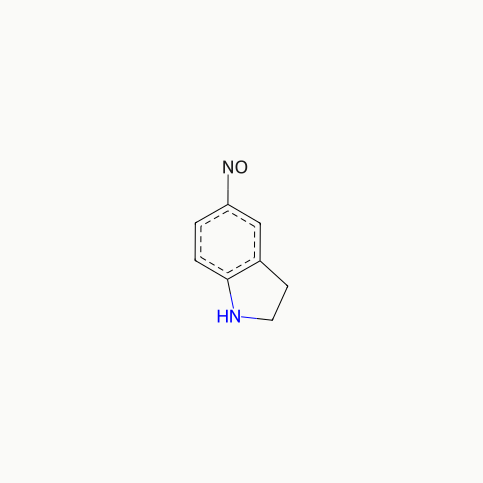 O=Nc1ccc2c(c1)CCN2